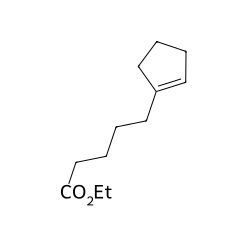 CCOC(=O)CCCCC1=CCCC1